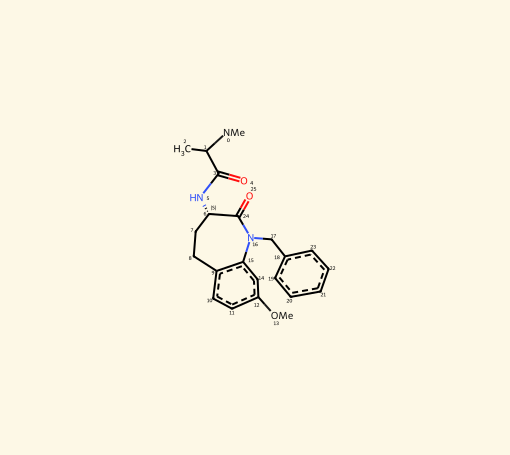 CNC(C)C(=O)N[C@H]1CCc2ccc(OC)cc2N(Cc2ccccc2)C1=O